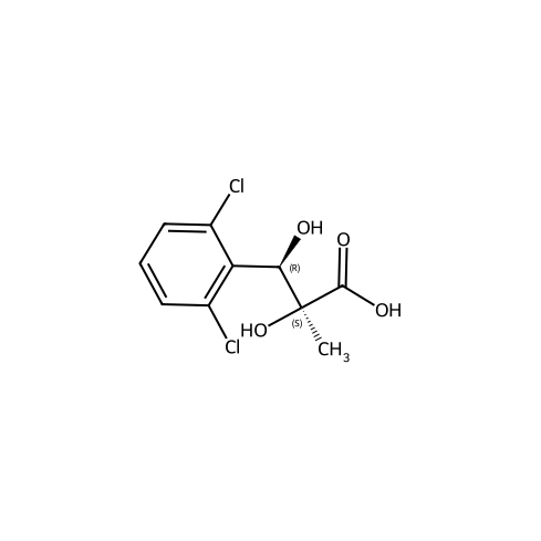 C[C@@](O)(C(=O)O)[C@H](O)c1c(Cl)cccc1Cl